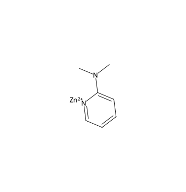 CN(C)c1ccccn1.[Zn+2]